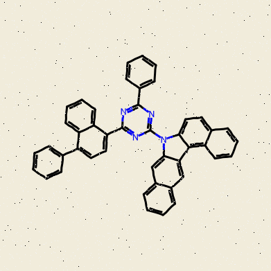 c1ccc(-c2nc(-c3ccc(-c4ccccc4)c4ccccc34)nc(-n3c4cc5ccccc5cc4c4c5ccccc5ccc43)n2)cc1